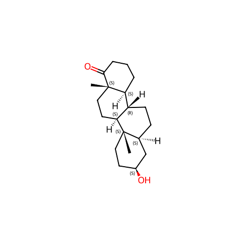 C[C@]12CC[C@H](O)C[C@@H]1CC[C@@H]1[C@@H]2CC[C@]2(C)C(=O)CCC[C@@H]12